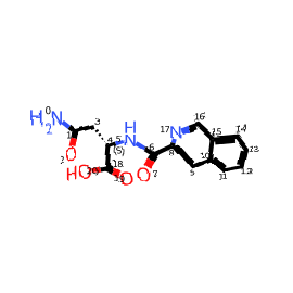 NC(=O)C[C@H](NC(=O)c1cc2ccccc2cn1)C(=O)O